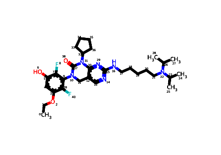 CCOc1cc(O)c(F)c(N2Cc3cnc(NCCCCCN(C(C)C)C(C)C)nc3N(C3CCCC3)C2=O)c1F